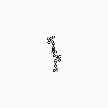 CCc1nc2ccccc2n1-c1ccc(-c2ccc3cc4c(cc3c2)C2(c3ccccc3-c3ccccc32)c2ccc3c(-c5cccc6c5nc(C)n6-c5ccc(-c6ccc7cc8c(cc7c6)C6(c7ccccc7-c7ccccc76)c6ccc7ccccc7c6-8)cc5)cccc3c2-4)cc1